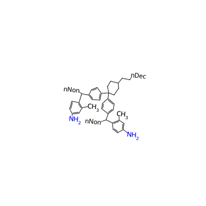 CCCCCCCCCCCCC1CCC(c2ccc(C(CCCCCCCCC)c3ccc(N)cc3C)cc2)(c2ccc(C(CCCCCCCCC)c3ccc(N)cc3C)cc2)CC1